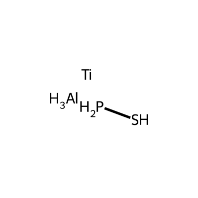 PS.[AlH3].[Ti]